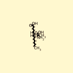 CC(O)C(C)(C)N.CCCCCCCCCCCCCC(=O)O